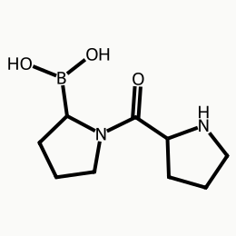 O=C(C1CCCN1)N1CCCC1B(O)O